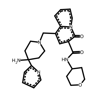 NC1(c2ccccn2)CCN(Cc2cc(C(=O)NC3CCOCC3)c(=O)n3ccccc23)CC1